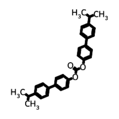 CC(C)c1ccc(-c2ccc(OC(=O)Oc3ccc(-c4ccc(C(C)C)cc4)cc3)cc2)cc1